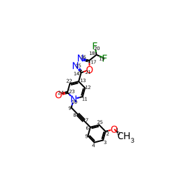 COc1cccc(C#CCn2ccc(-c3nnc(C(F)F)o3)cc2=O)c1